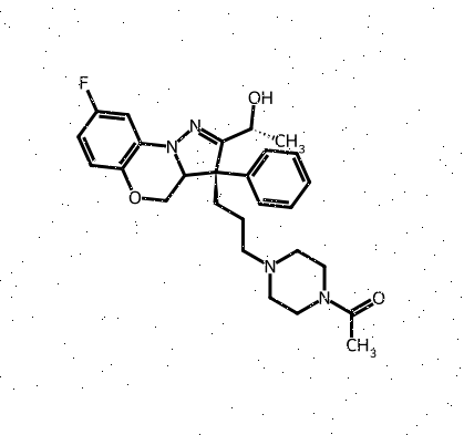 CC(=O)N1CCN(CCC[C@]2(c3ccccc3)C([C@@H](C)O)=NN3c4cc(F)ccc4OCC32)CC1